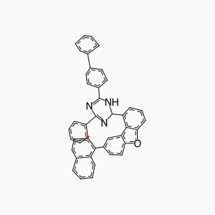 c1ccc(C2=NC(c3cccc4oc5ccc(-c6cccc7ccccc67)cc5c34)NC(c3ccc(-c4ccccc4)cc3)=N2)cc1